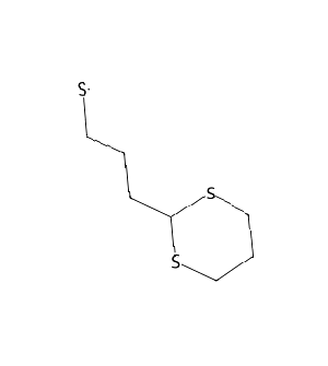 [S]CCCC1SCCCS1